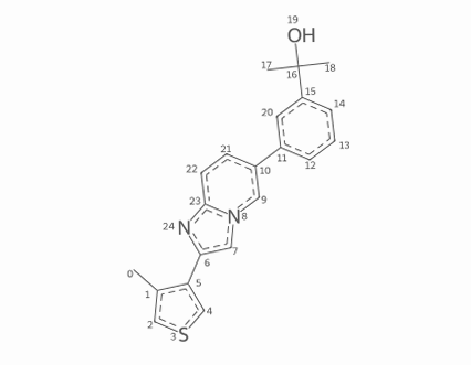 Cc1cscc1-c1cn2cc(-c3cccc(C(C)(C)O)c3)ccc2n1